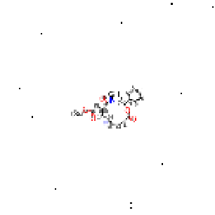 CN1CC(c2ccccc2)OC(=O)CC/C=C/C[C@@H](CC(=O)OC(C)(C)C)C1=O